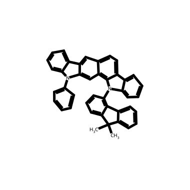 CC1(C)c2ccccc2-c2c(-n3c4ccccc4c4ccc5cc6c7ccccc7n(-c7ccccc7)c6cc5c43)cccc21